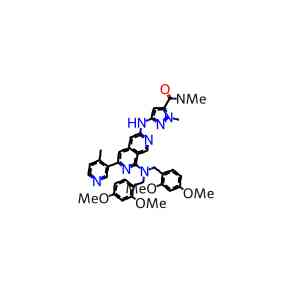 CNC(=O)c1cc(Nc2cc3cc(-c4cnccc4C)nc(N(Cc4ccc(OC)cc4OC)Cc4ccc(OC)cc4OC)c3cn2)nn1C